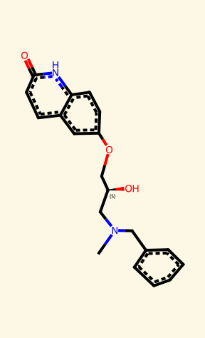 CN(Cc1ccccc1)C[C@H](O)COc1ccc2[nH]c(=O)ccc2c1